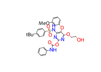 COc1cccc(Oc2c(NS(=O)(=O)c3ccc(C(C)(C)C)cc3)nc(OC(=O)Nc3ccccc3)nc2OCCO)c1